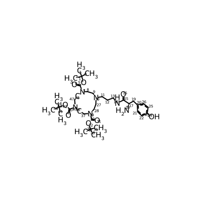 CC(C)(C)OC(=O)N1CCN(CCCNC(=O)[C@H](N)Cc2ccc(O)cc2)CCN(C(=O)OC(C)(C)C)CCN(C(=O)OC(C)(C)C)CC1